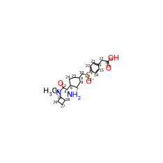 CN(C(=O)[C@@H](N)C1CCC(C[S+]([O-])c2ccc(CC(=O)O)cc2)CC1)C1CCC1